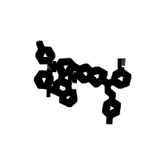 Cc1ccc(CCC(c2cccc(F)c2)c2ccc3cc4c5ccc(N(c6ccc(C)cc6)c6cccc(F)c6)c6c7ccc8ccccc8c7n(c4cc3c2)c56)cc1